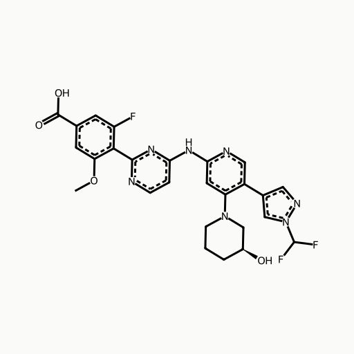 COc1cc(C(=O)O)cc(F)c1-c1nccc(Nc2cc(N3CCC[C@H](O)C3)c(-c3cnn(C(F)F)c3)cn2)n1